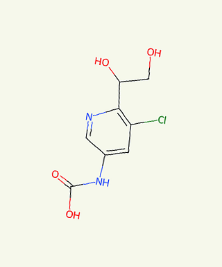 O=C(O)Nc1cnc(C(O)CO)c(Cl)c1